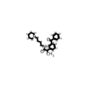 CC(C(=O)NCCCCN1CCCCC1)c1cccc(C(=O)c2ccccc2)c1